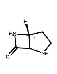 O=C1N[C@@H]2CCNC12